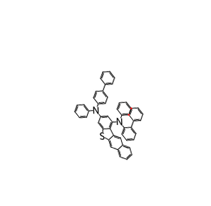 c1ccc(-c2ccc(N(c3ccccc3)c3cc(N(c4ccccc4)c4ccccc4-c4ccccc4)c4c(c3)sc3cc5ccccc5cc34)cc2)cc1